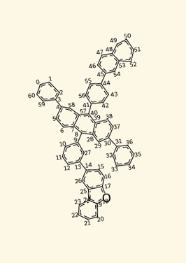 c1ccc(-c2ccc3c(-c4cccc(-c5ccc6oc7ccccc7c6c5)c4)c4cc(-c5ccccc5)ccc4c(-c4ccc(-c5ccc6ccccc6c5)cc4)c3c2)cc1